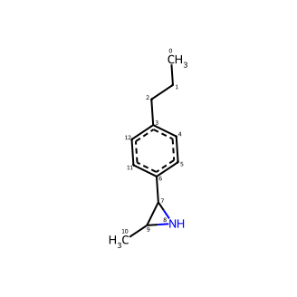 CCCc1ccc(C2NC2C)cc1